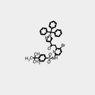 CC(C)(C)c1ccc(S(=O)(=O)Nc2ccc(Br)c(CC(=O)c3cnn(C(c4ccccc4)(c4ccccc4)c4ccccc4)c3)n2)cc1